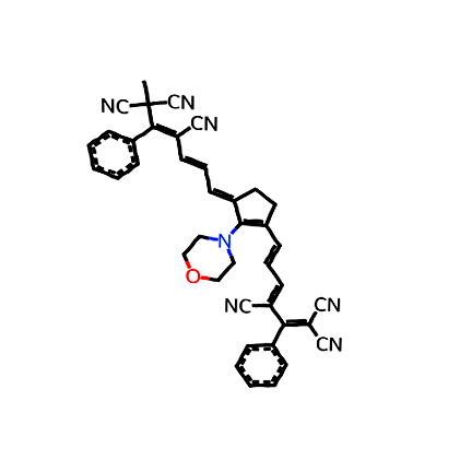 CC(C#N)(C#N)/C(=C(C#N)/C=C/C=C1\CCC(/C=C/C=C(\C#N)C(=C(C#N)C#N)c2ccccc2)=C1N1CCOCC1)c1ccccc1